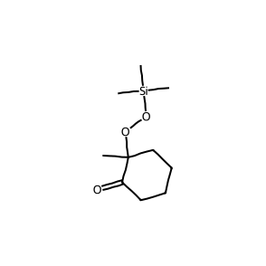 CC1(OO[Si](C)(C)C)CCCCC1=O